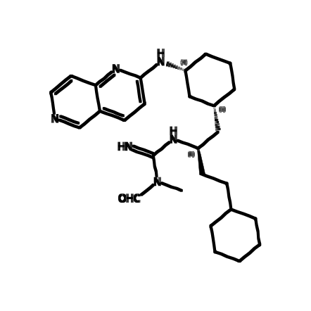 CN(C=O)C(=N)N[C@H](CCC1CCCCC1)C[C@H]1CCC[C@@H](Nc2ccc3cnccc3n2)C1